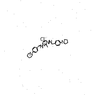 Cc1n(N=Cc2ccc(N3CCCC3)cc2)cc[n+]1N=Cc1ccc(N2CCCC2)cc1.[Cl-]